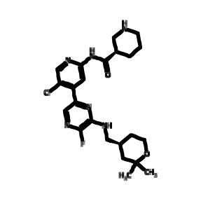 CC1(C)C[C@@H](CNc2nc(-c3cc(NC(=O)[C@@H]4CCCNC4)ncc3Cl)cnc2F)CCO1